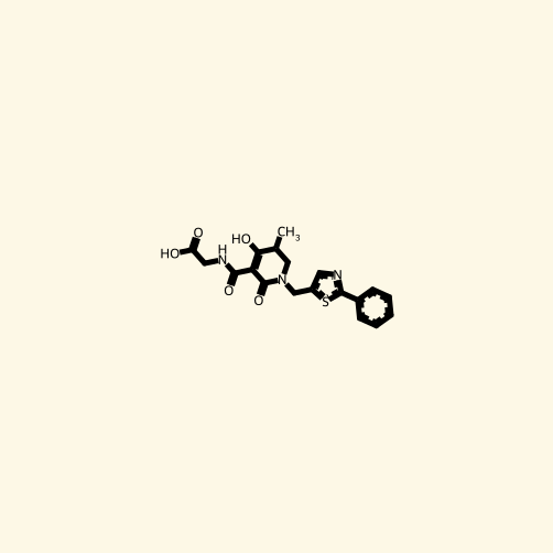 CC1CN(Cc2cnc(-c3ccccc3)s2)C(=O)C(C(=O)NCC(=O)O)=C1O